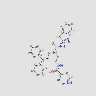 O=C(NCCN(CCC(c1ccccc1)c1ccccc1)C(=O)Nc1nc2ccccc2s1)C1CCNCC1